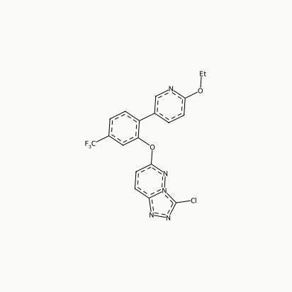 CCOc1ccc(-c2ccc(C(F)(F)F)cc2Oc2ccc3nnc(Cl)n3n2)cn1